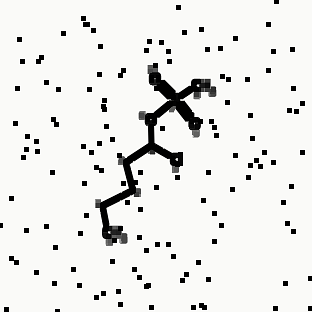 CCCCC(Cl)OS(C)(=O)=O